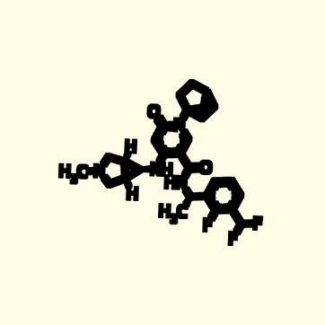 C[C@@H](NC(=O)c1cn(C23CCC(CC2)C3)c(=O)cc1N[C@H]1[C@@H]2CN(C)C[C@@H]21)c1cccc(C(F)F)c1F